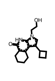 O=c1[nH]c2c(c(C3CCC3)cn2CCO)c2c1CCCC2